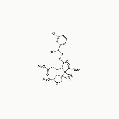 COC(=O)CC1C(C(=O)OOC(O)c2cccc(Cl)c2)C(C)(C(=O)OC)[C@]2(C)COC(OC)C12